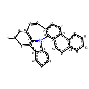 CC1C=c2c3n(c4ccccc24)-c2c(ccc4c2ccc2ccccc24)C=CC=3C1